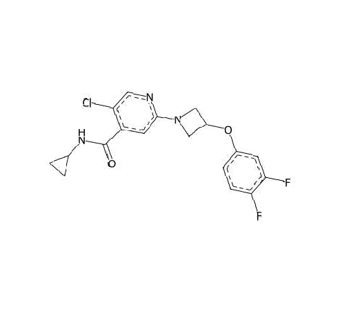 O=C(NC1CC1)c1cc(N2CC(Oc3ccc(F)c(F)c3)C2)ncc1Cl